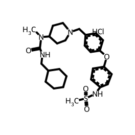 CN(C(=O)NCC1CCCCC1)C1CCN(Cc2ccc(Oc3ccc(NS(C)(=O)=O)cc3)cc2)CC1.Cl